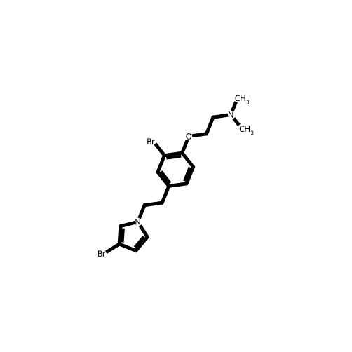 CN(C)CCOc1ccc(CCn2ccc(Br)c2)cc1Br